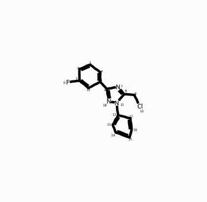 Fc1cccc(-c2nc(CCl)n(-c3ccccc3)n2)c1